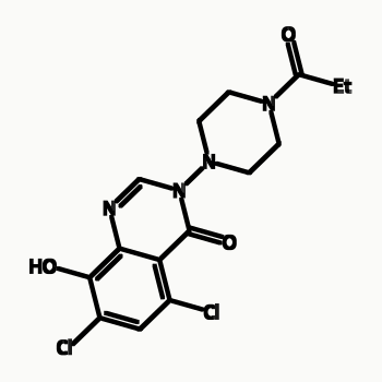 CCC(=O)N1CCN(n2cnc3c(O)c(Cl)cc(Cl)c3c2=O)CC1